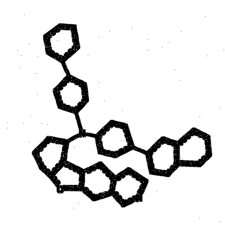 c1ccc(-c2ccc(N(c3ccc(-c4ccc5ccccc5c4)cc3)c3cccc4oc5cc6cnccc6cc5c34)cc2)cc1